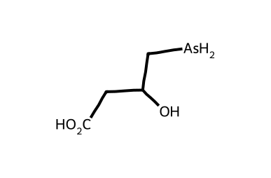 O=C(O)CC(O)C[AsH2]